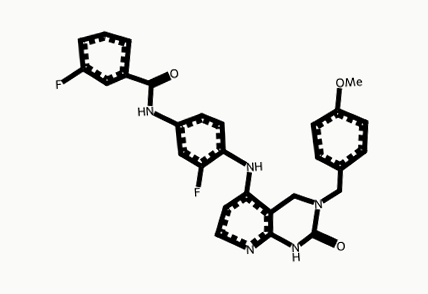 COc1ccc(CN2Cc3c(Nc4ccc(NC(=O)c5cccc(F)c5)cc4F)ccnc3NC2=O)cc1